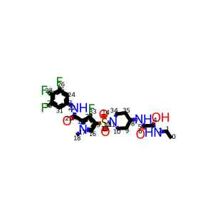 CCNC(O)C(=O)NC1CCN(S(=O)(=O)c2cn(C)c(C(=O)Nc3cc(F)c(F)c(F)c3)c2F)CC1